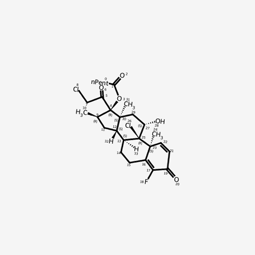 CCCCCC(=O)O[C@]1(C(=O)CCl)[C@H](C)C[C@H]2[C@@H]3CCC4=C(F)C(=O)C=C[C@]4(C)[C@@]3(Cl)[C@@H](O)C[C@@]21C